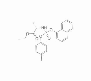 CCOC(=O)[C@H](C)N[P@](=O)(Oc1ccc(C)cc1)Oc1cccc2ccccc12